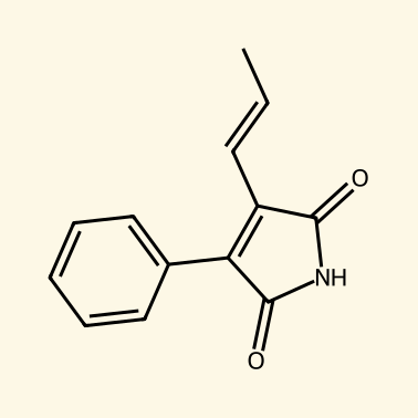 CC=CC1=C(c2ccccc2)C(=O)NC1=O